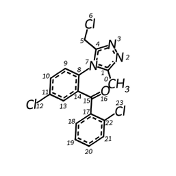 Cc1nnc(CCl)n1-c1ccc(Cl)cc1C(=O)c1ccccc1Cl